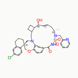 C[C@H]1C/C=C/[C@H](O)C2CCC2CN2C[C@@]3(CCCc4cc(Cl)ccc43)COc3ccc(cc32)C(=O)NS(=O)(=O)N1Cc1ccccn1